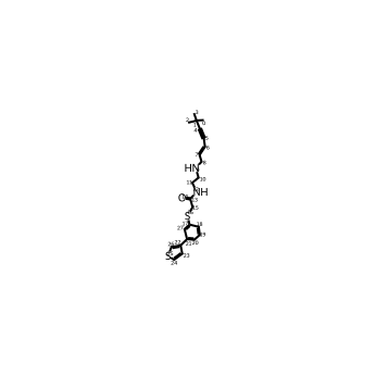 CC(C)(C)C#CC=CCNCCNC(=O)CSc1cccc(-c2ccsc2)c1